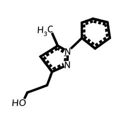 Cc1cc(CCO)nn1-c1ccccc1